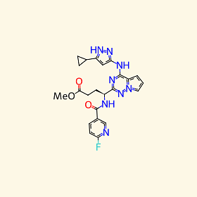 COC(=O)CC[C@H](NC(=O)c1ccc(F)nc1)c1nc(Nc2cc(C3CC3)[nH]n2)c2cccn2n1